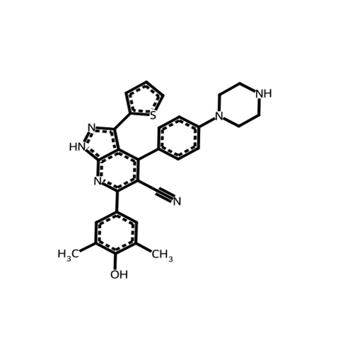 Cc1cc(-c2nc3[nH]nc(-c4cccs4)c3c(-c3ccc(N4CCNCC4)cc3)c2C#N)cc(C)c1O